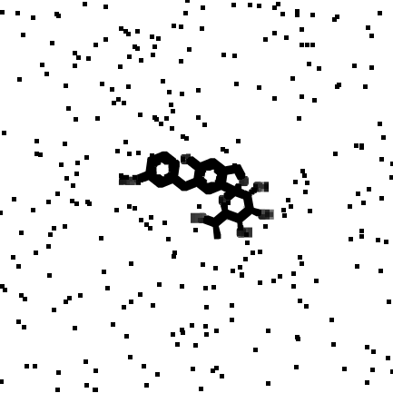 CNc1cccc(Cc2cc3c(cc2Cl)CO[C@]32O[C@H]([C@@H](C)O)[C@@H](O)[C@H](O)[C@H]2O)c1